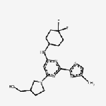 Cc1csc(-c2nc(NC3CCC(F)(F)CC3)cc(N3CCC(CO)C3)n2)n1